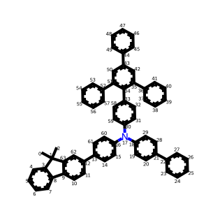 CC1(C)c2ccccc2-c2ccc(-c3ccc(N(c4ccc(-c5ccccc5)cc4)c4ccc(-c5c(-c6ccccc6)cc(-c6ccccc6)cc5-c5ccccc5)cc4)cc3)cc21